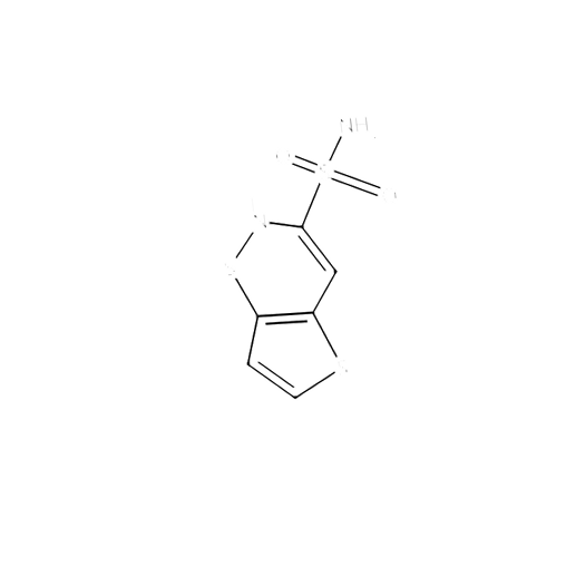 NS(=O)(=O)C1=Cc2sccc2SN1